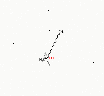 CCCCCCCCCCCCCC(O)C(C)(C)C